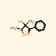 O=C(O)[C@H](O)[C@@](O)(C(=O)O)C(=O)c1ccccc1